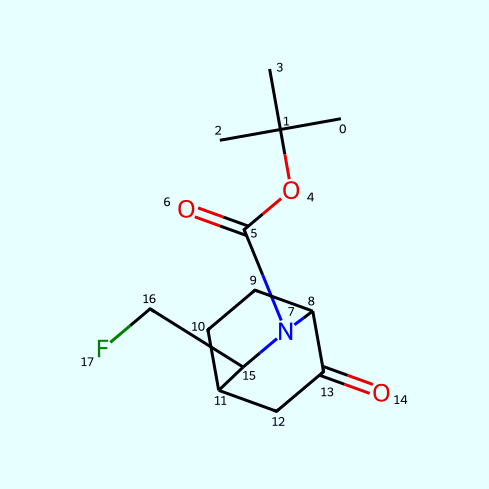 CC(C)(C)OC(=O)N1C2CCC(CC2=O)C1CF